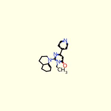 CCn1c(N2CCCC3CCCC=C32)nc(-c2ccncc2)cc1=O